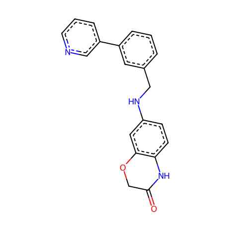 O=C1COc2cc(NCc3cccc(-c4cccnc4)c3)ccc2N1